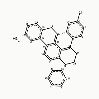 Cl.Clc1ccc(C2=c3c(ccc4c3=CCc3ccccc3-4)CCC2)cc1.c1ccncc1